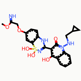 COC(=N)COc1ccc2c(c1)S(O)(O)N=C(c1c(O)c3ccccc3n(NCC3CC3)c1=O)N2